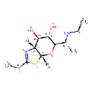 CCN[C@H](C)C1O[C@@H]2SC(NC)=N[C@@H]2[C@@H](O)[C@@H]1O